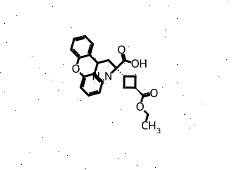 CCOC(=O)[C@H]1C[C@H](C(N)(CC2c3ccccc3Oc3ccccc32)C(=O)O)C1